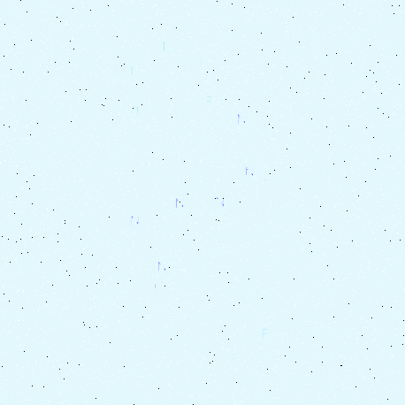 [C-]#[N+]/C(C#N)=C1/c2cc(-c3c(F)c(F)c(F)c(F)c3F)ccc2-c2nc3c(nc21)-c1ccc(-c2c(F)c(F)c(F)c(F)c2F)cc1/C3=C(/C#N)[N+]#[C-]